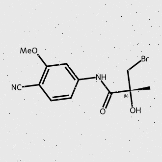 COc1cc(NC(=O)[C@@](C)(O)CBr)ccc1C#N